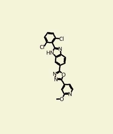 COc1cc(-c2nnc(-c3ccc4nc(-c5c(Cl)cccc5Cl)[nH]c4c3)o2)ccn1